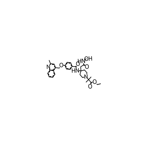 CCOC(=O)C(C)(C)N1CCC(CC(=O)NO)(NC(=O)c2ccc(OCc3cc(C)nc4ccccc34)cc2)CC1